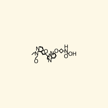 CCN(CCOC)c1nccc2oc(-c3cnc4ccc(O[C@H]5C[C@H](NC(=O)O)C5)nn34)cc12